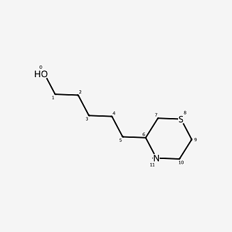 OCCCCCC1CSCC[N]1